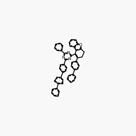 c1ccc(-c2ccc(C3=C(c4nc(-c5ccccc5)nc(-c5ccc(-c6ccc(-c7ccccc7)cc6)cc5)n4)c4c(oc5ccccc45)CC3)cc2)cc1